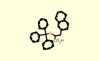 O=C(O)C(Cc1ccc2ccccc2c1)SC(c1ccccc1)(c1ccccc1)c1ccccc1